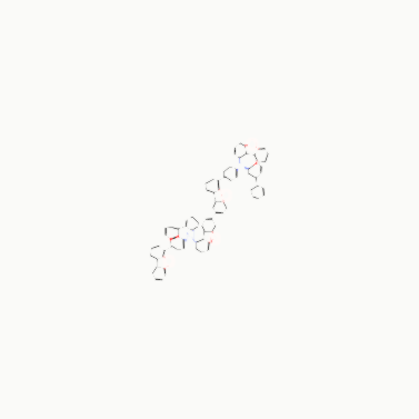 c1ccc(-c2cccc(N(c3ccc(-c4cccc5c4oc4ccc(-c6ccc7c(c6)oc6cccc(N(c8ccc(-c9cccc%10c9oc9ccccc9%10)cc8)c8ccccc8-c8ccccc8)c67)cc45)cc3)c3cccc4oc5ccccc5c34)c2)cc1